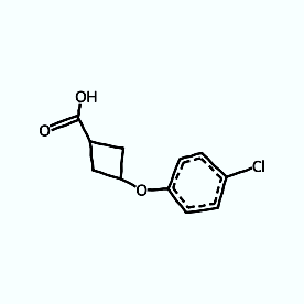 O=C(O)C1CC(Oc2ccc(Cl)cc2)C1